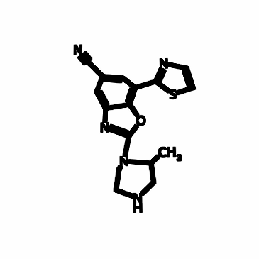 CC1CNCCN1c1nc2cc(C#N)cc(-c3nccs3)c2o1